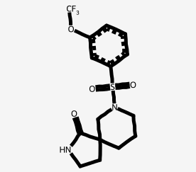 O=C1NCCC12CCCN(S(=O)(=O)c1cccc(OC(F)(F)F)c1)C2